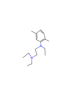 CCN(CC)CCN(CC)c1cc(C)ccc1C